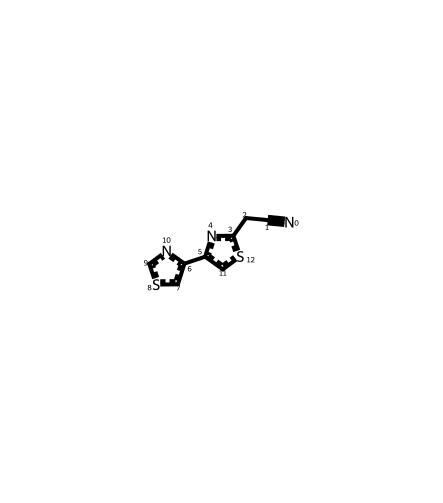 N#CCc1nc(-c2cscn2)cs1